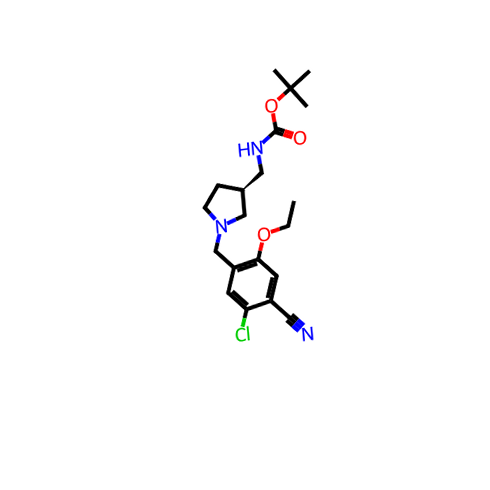 CCOc1cc(C#N)c(Cl)cc1CN1CC[C@@H](CNC(=O)OC(C)(C)C)C1